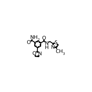 Cc1csc(CNC(=O)c2cc(C(N)=O)cc(-c3ncco3)c2)n1